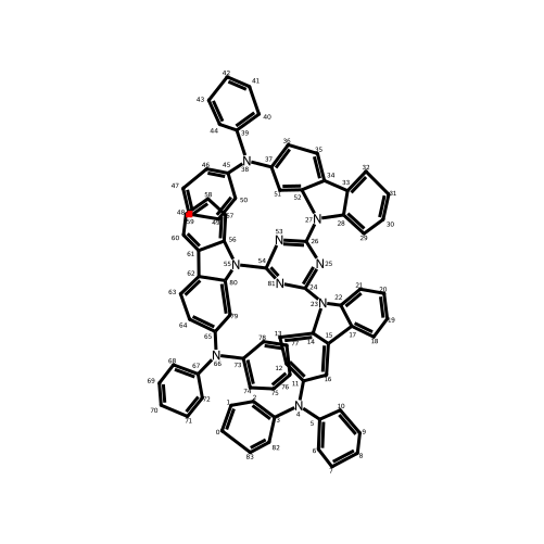 c1ccc(N(c2ccccc2)c2ccc3c(c2)c2ccccc2n3-c2nc(-n3c4ccccc4c4ccc(N(c5ccccc5)c5ccccc5)cc43)nc(-n3c4ccccc4c4ccc(N(c5ccccc5)c5ccccc5)cc43)n2)cc1